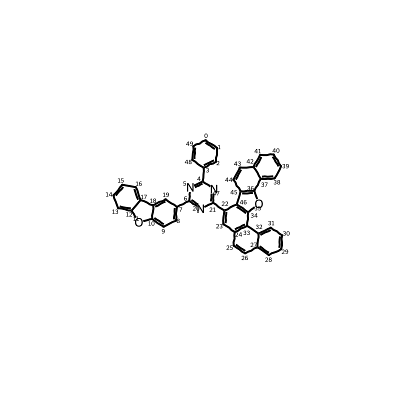 c1ccc(-c2nc(-c3ccc4oc5ccccc5c4c3)nc(-c3cc4ccc5ccccc5c4c4oc5c6ccccc6ccc5c34)n2)cc1